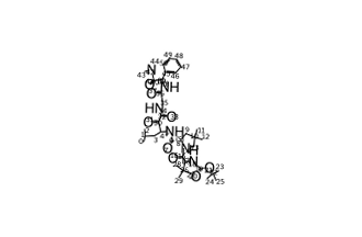 CC(C)CC(NC(=O)[C@@H]1CC(C)(C)CN1C(=O)[C@@H](NC(=O)OC(C)(C)C)C(C)(C)C)C(=O)C(=O)NCC(=O)N[C@H](C(=O)N(C)C)c1ccccc1